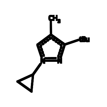 Cc1cn(C2CC2)nc1C(C)(C)C